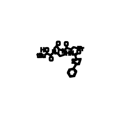 CC(C)CC(NC(=O)c1ccc(-c2ccccc2)s1)C(=O)N1CCC2C1C(=O)CN2C(=O)C(O)C(C)(C)C